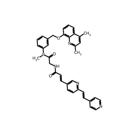 Cc1cc(C)c2cccc(OCc3cccc(N(C)C(=O)CNC(=O)C=Cc4ccc(C=Cc5ccncc5)nc4)c3)c2n1